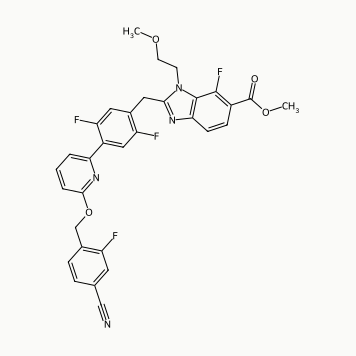 COCCn1c(Cc2cc(F)c(-c3cccc(OCc4ccc(C#N)cc4F)n3)cc2F)nc2ccc(C(=O)OC)c(F)c21